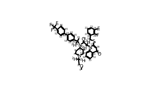 [2H]C([2H])(COC)N1CCC(N(C(=O)C([2H])([2H])n2c(SCc3cccc(F)c3F)cc(=O)c3ccccc32)C([2H])(C)c2ccc(-c3ccc(C(F)(F)F)cc3)cc2)CC1